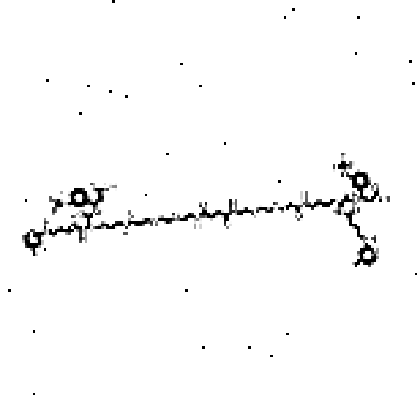 Cc1ccnc(NCCCC(=O)N[C@@H](CCCCNC(=O)CCOCCOCCNC(=O)CCC(=O)NCCOCCOCCC(=O)NCCCC[C@H](NC(=O)CCCNc2cc(C)ccn2)C(=O)NC(CC(=O)O)c2cccc(OC(F)(F)F)c2)C(=O)NC(CC(=O)O)c2cccc(OC(F)(F)F)c2)c1